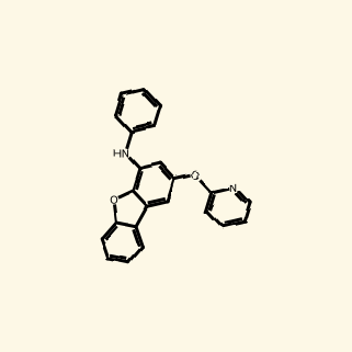 c1ccc(Nc2cc(Oc3ccccn3)cc3c2oc2ccccc23)cc1